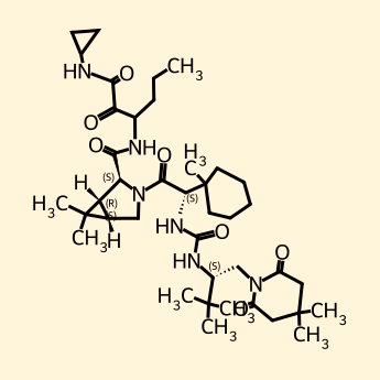 CCCC(NC(=O)[C@@H]1[C@@H]2[C@H](CN1C(=O)[C@@H](NC(=O)N[C@H](CN1C(=O)CC(C)(C)CC1=O)C(C)(C)C)C1(C)CCCCC1)C2(C)C)C(=O)C(=O)NC1CC1